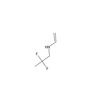 C=CNCC(C)(F)F